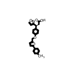 Cc1ccc(-c2ccc(COc3ccc([C@H](CC(=O)O)c4ccon4)cc3)s2)cc1